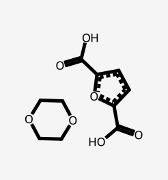 C1COCCO1.O=C(O)c1ccc(C(=O)O)o1